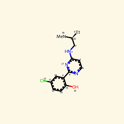 CC[C@@H](CNc1ccnc(-c2cc(Cl)ccc2O)n1)NC